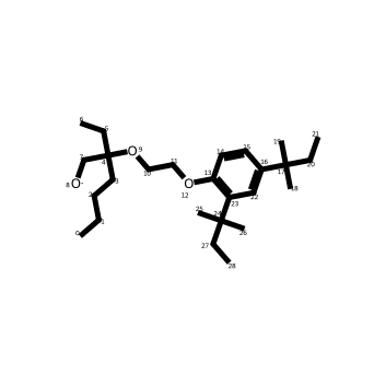 CCCCC(CC)(C[O])OCCOc1ccc(C(C)(C)CC)cc1C(C)(C)CC